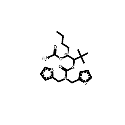 CCCC[C@H](OC(N)=O)C(SC(=O)N(Cc1cccs1)Cc1cccs1)C(C)(C)C